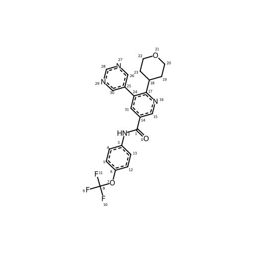 O=C(Nc1ccc(OC(F)(F)F)cc1)c1cnc(C2CCOCC2)c(-c2cncnc2)c1